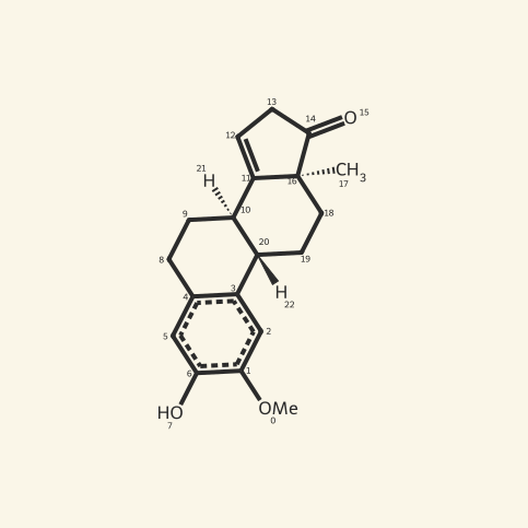 COc1cc2c(cc1O)CC[C@H]1C3=CCC(=O)[C@@]3(C)CC[C@H]21